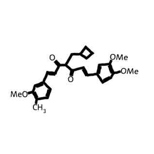 COc1cc(/C=C/C(=O)C(CC2CCC2)C(=O)/C=C/c2ccc(OC)c(OC)c2)ccc1C